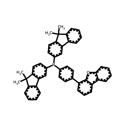 CC1(C)c2ccccc2-c2cc(N(c3ccc(-c4cccc5c4oc4ccccc45)cc3)c3ccc4c(c3)-c3ccccc3C4(C)C)ccc21